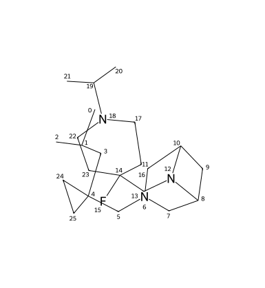 CC(C)CC1(CN2CC3CC(C2)N3CC2(F)CCN(C(C)C)CC2)CC1